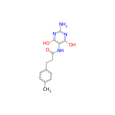 Cc1ccc(CCC(=O)Nc2c(O)nc(N)nc2O)cc1